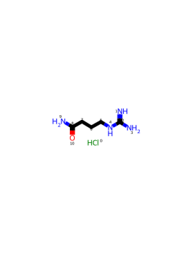 Cl.N=C(N)NCCCC(N)=O